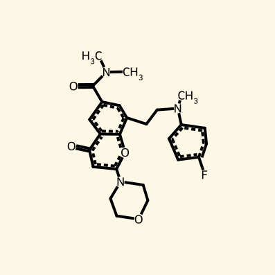 CN(C)C(=O)c1cc(CCN(C)c2ccc(F)cc2)c2oc(N3CCOCC3)cc(=O)c2c1